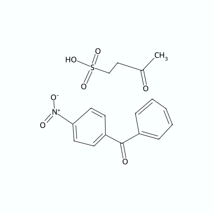 CC(=O)CCS(=O)(=O)O.O=C(c1ccccc1)c1ccc([N+](=O)[O-])cc1